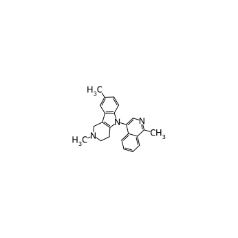 Cc1ccc2c(c1)c1c(n2-c2cnc(C)c3ccccc23)CCN(C)C1